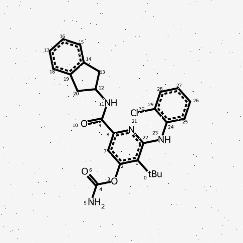 CC(C)(C)c1c(OC(N)=O)cc(C(=O)NC2Cc3ccccc3C2)nc1Nc1ccccc1Cl